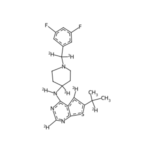 [2H]c1nc(N([2H])C2([2H])CCN(C([2H])([2H])c3cc(F)cc(F)c3)CC2)c2c([2H])c(C([2H])(C)C)sc2n1